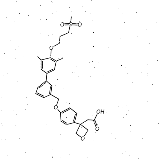 Cc1cc(-c2cccc(COc3ccc(C4(CC(=O)O)COC4)cc3)c2)cc(C)c1OCCCS(C)(=O)=O